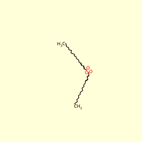 CCCCCCCCCCCCC/C=C/C=C/C(=O)OC(=O)/C=C/C=C/CCCCCCCCCCCCC